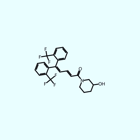 O=C(C=CC=C(c1ccccc1C(F)(F)F)c1ccccc1C(F)(F)F)N1CCCC(O)C1